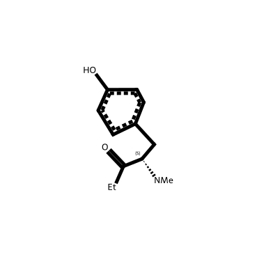 CCC(=O)[C@H](Cc1ccc(O)cc1)NC